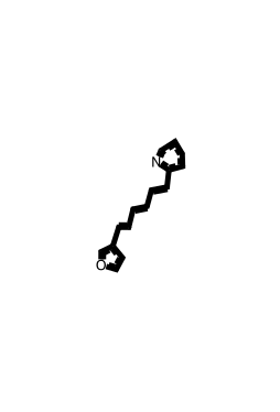 C(=CC=Cc1ccccn1)C=Cc1ccoc1